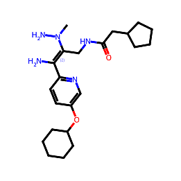 CN(N)/C(CNC(=O)CC1CCCC1)=C(\N)c1ccc(OC2CCCCC2)cn1